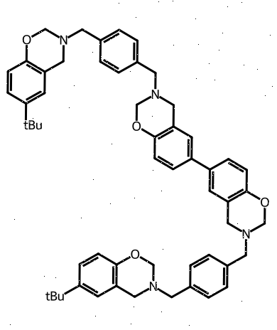 CC(C)(C)c1ccc2c(c1)CN(Cc1ccc(CN3COc4ccc(-c5ccc6c(c5)CN(Cc5ccc(CN7COc8ccc(C(C)(C)C)cc8C7)cc5)CO6)cc4C3)cc1)CO2